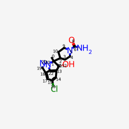 CC1(C2CCN(C(N)=O)CC2)[C@H](O)c2cc(Cl)cc3cnn1c23